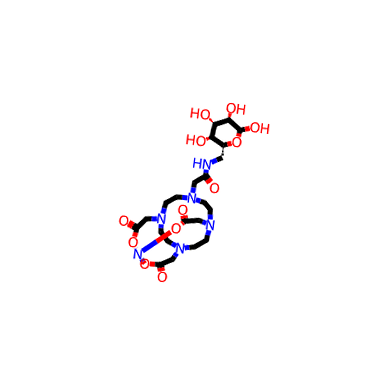 O=C(CN1CCN2CCN3CCN(CC1)CC(=O)ON(OC(=O)C2)OC(=O)C3)NC[C@H]1OC(O)[C@H](O)[C@@H](O)[C@@H]1O